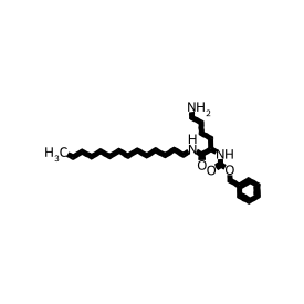 CCCCCCCCCCCCCCNC(=O)C(CCCCN)NC(=O)OCc1ccccc1